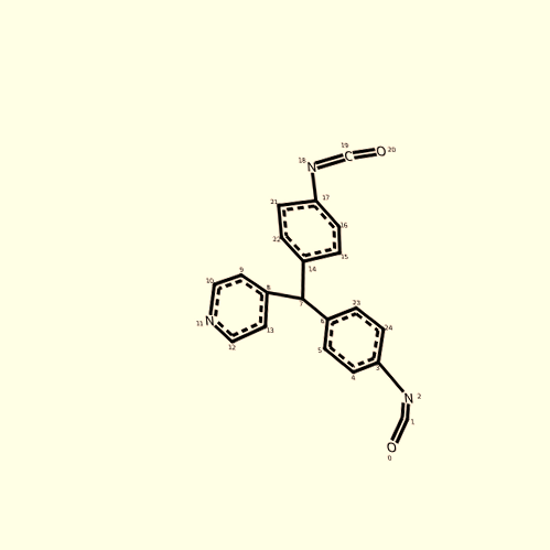 O=C=Nc1ccc(C(c2ccncc2)c2ccc(N=C=O)cc2)cc1